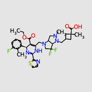 CCOC(=O)C1=C(CN2CC(F)(F)C3C2CN(C)N3CC2CC(C)(C(=O)O)C2)NC(c2nccs2)=N[C@H]1c1cccc(F)c1C